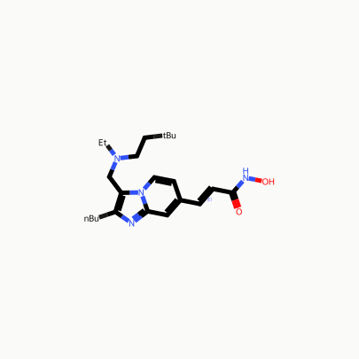 CCCCc1nc2cc(/C=C/C(=O)NO)ccn2c1CN(CC)CCC(C)(C)C